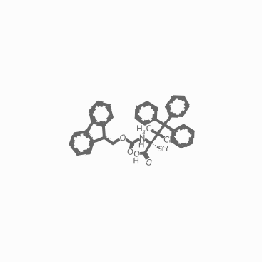 CC(C)(C(c1ccccc1)(c1ccccc1)c1ccccc1)[C@](S)(NC(=O)OCC1c2ccccc2-c2ccccc21)C(=O)O